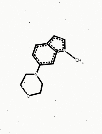 Cn1ccc2ccc(N3CCOCC3)cc21